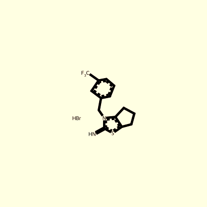 Br.N=c1sc2c(n1Cc1cccc(C(F)(F)F)c1)CCC2